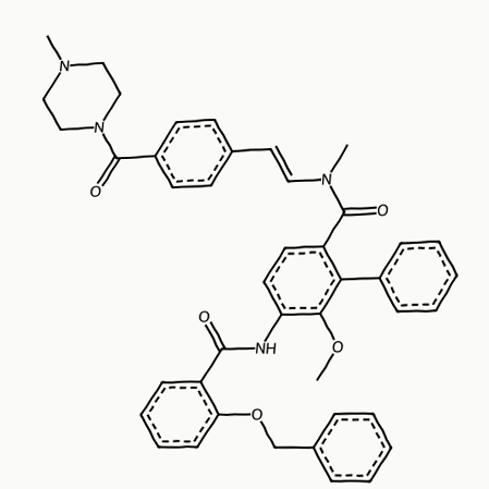 COc1c(NC(=O)c2ccccc2OCc2ccccc2)ccc(C(=O)N(C)/C=C/c2ccc(C(=O)N3CCN(C)CC3)cc2)c1-c1ccccc1